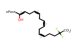 CCCCC/C(O)=C/C/C=C\C/C=C\C/C=C\CCC(F)(F)C(=O)O